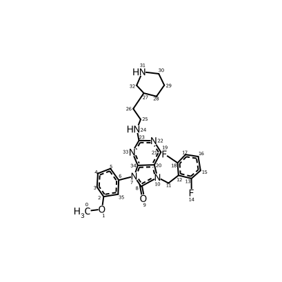 COc1cccc(-n2c(=O)n(Cc3c(F)cccc3F)c3cnc(NCCC4CCCNC4)nc32)c1